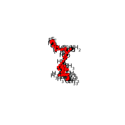 CC[C@H](C)[C@@H]([C@@H](CC(=O)N1CCC[C@H]1[C@H](OC)[C@@H](C)C(=O)NC(CC(=O)NCc1ccc(NC(=O)[C@H](CCCNC(N)=O)NC(=O)[C@@H](NC(=O)CCCN2CCC(C(=O)Oc3c(F)c(F)c(F)c(F)c3F)CC2C(F)(F)F)C(C)C)cc1)Cc1ccccc1)OC)N(C)C(=O)[C@@H](NC(=O)[C@H](C(C)C)N(C)C)C(C)C